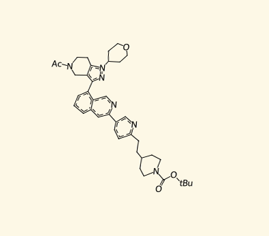 CC(=O)N1CCc2c(c(-c3cccc4cc(-c5ccc(CCC6CCN(C(=O)OC(C)(C)C)CC6)nc5)ncc34)nn2C2CCOCC2)C1